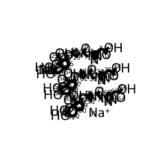 O=C(O)Cc1cn(CC(=O)N2CC(Oc3ccc4c(c3C(=O)O)O[B-](O)(O)CC4)C2)nn1.O=C(O)Cc1cn(CC(=O)N2CC(Oc3ccc4c(c3C(=O)O)O[B-](O)(O)CC4)C2)nn1.O=C(O)Cc1cn(CC(=O)N2CC(Oc3ccc4c(c3C(=O)O)O[B-](O)(O)CC4)C2)nn1.[Na+].[Na+].[Na+]